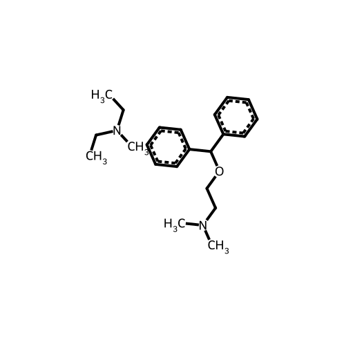 CCN(C)CC.CN(C)CCOC(c1ccccc1)c1ccccc1